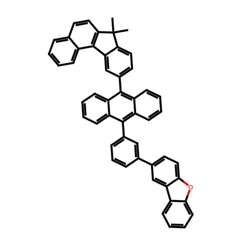 CC1(C)c2ccc(-c3c4ccccc4c(-c4cccc(-c5ccc6oc7ccccc7c6c5)c4)c4ccccc34)cc2-c2c1ccc1ccccc21